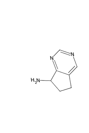 NC1CCc2cncnc21